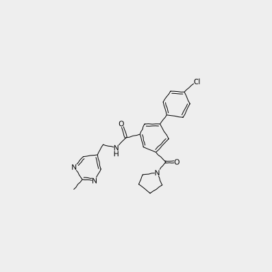 Cc1ncc(CNC(=O)c2cc(C(=O)N3CCCC3)cc(-c3ccc(Cl)cc3)c2)cn1